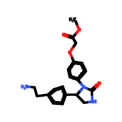 COC(=O)COc1ccc(N2C(=O)NCC2c2ccc(CCN)cc2)cc1